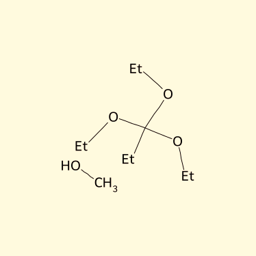 CCOC(CC)(OCC)OCC.CO